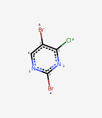 Clc1nc(Br)ncc1Br